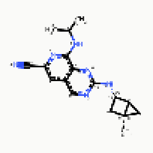 CC(C)Nc1nc(C#N)cc2cnc(N[C@H]3C[C@]4(C)CC34)nc12